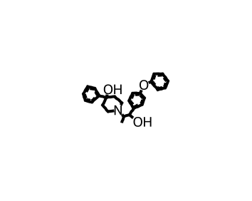 CC(C(O)c1ccc(Oc2ccccc2)cc1)N1CCC(O)(c2ccccc2)CC1